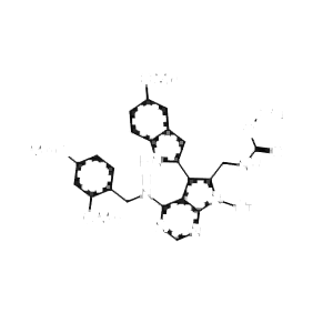 COc1ccc(CNc2ncnc3c2c(-c2cc4cc(OC)ccc4[nH]2)c(CNC(=O)OC(C)(C)C)n3C(C)C)c(OC)c1